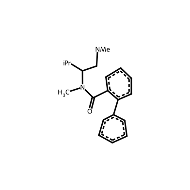 CNCC(C(C)C)N(C)C(=O)c1ccccc1-c1ccccc1